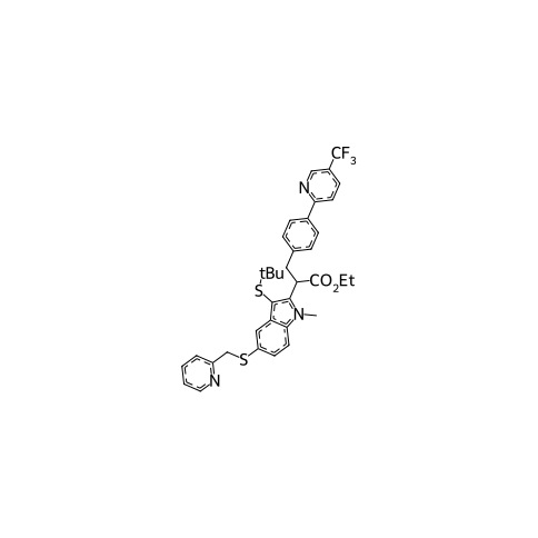 CCOC(=O)C(Cc1ccc(-c2ccc(C(F)(F)F)cn2)cc1)c1c(SC(C)(C)C)c2cc(SCc3ccccn3)ccc2n1C